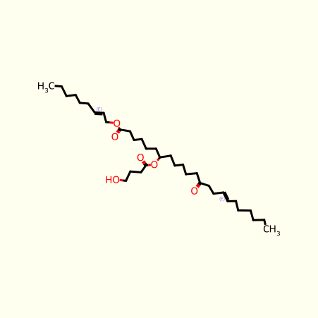 CCCCCC/C=C/CCC(=O)CCCCCC(CCCCCC(=O)OC/C=C/CCCCCC)OC(=O)CCCO